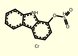 O=[SH](=O)Oc1cccc2c1[nH]c1ccccc12.[Cr]